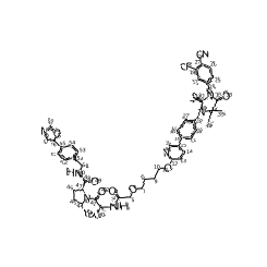 CC(C)(C)[C@H](NC(=O)COCCCCOc1ccc(-c2ccc(N3C(=S)N(c4ccc(C#N)c(Cl)c4)C(=O)C3(C)C)cc2)cn1)C(=O)N1CCC[C@H]1C(=O)NCc1ccc(-c2cnco2)cc1